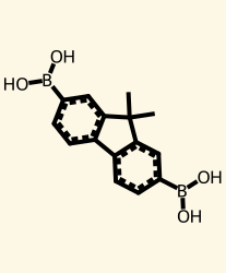 CC1(C)c2cc(B(O)O)ccc2-c2ccc(B(O)O)cc21